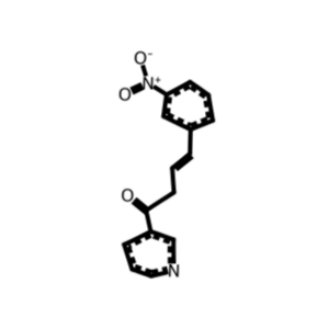 O=C(CC=Cc1cccc([N+](=O)[O-])c1)c1cccnc1